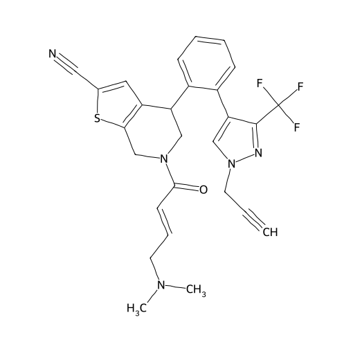 C#CCn1cc(-c2ccccc2C2CN(C(=O)/C=C/CN(C)C)Cc3sc(C#N)cc32)c(C(F)(F)F)n1